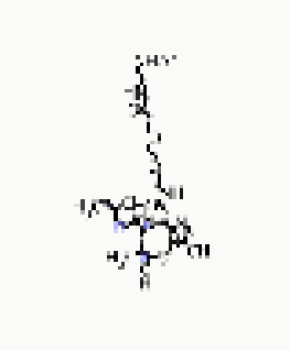 C=C(/C=C\C(Cl)=C/C)/C1=N/[C@@H](CC(=O)NCCOCCOCCC(=O)CNCCNC(C)=O)c2nnc(C)n2CS/C(C)=C(/C)C1